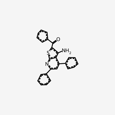 Nc1c(C(=O)c2ccccc2)sc2nc(-c3ccccc3)cc(-c3ccccc3)c12